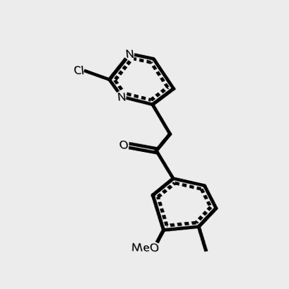 COc1cc(C(=O)Cc2ccnc(Cl)n2)ccc1C